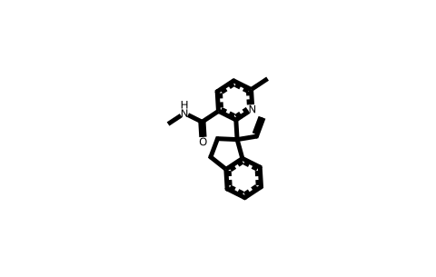 C=CC1(c2nc(C)ccc2C(=O)NC)CCc2ccccc21